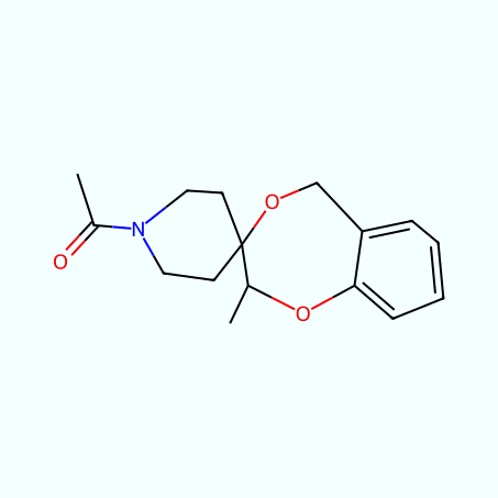 CC(=O)N1CCC2(CC1)OCc1ccccc1OC2C